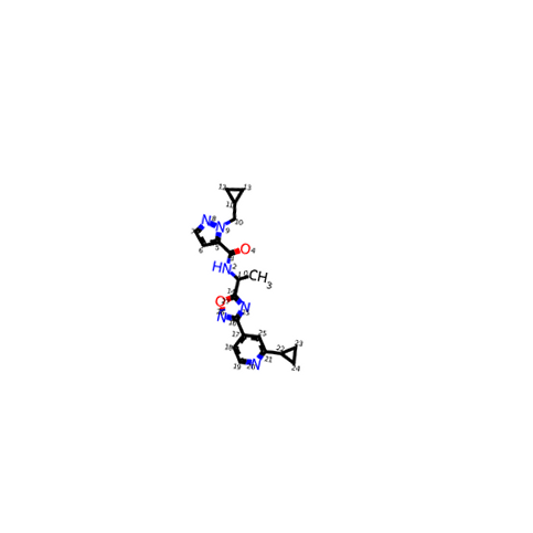 CC(NC(=O)c1ccnn1CC1CC1)c1nc(-c2ccnc(C3CC3)c2)no1